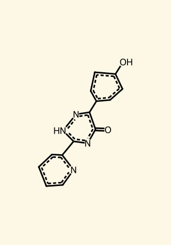 O=c1nc(-c2ccccn2)[nH]nc1-c1ccc(O)cc1